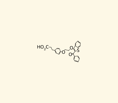 O=C(O)CCc1ccc(OCCOc2c(C(=O)c3ccccc3)sc3ccccc23)cc1